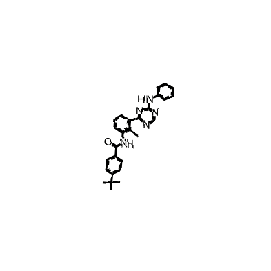 Cc1c(NC(=O)c2ccc(C(C)(C)C)cc2)cccc1-c1ncnc(Nc2ccccc2)n1